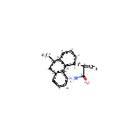 C=C(C)C(N)=O.Cc1cc2ccccc2c2ccccc12